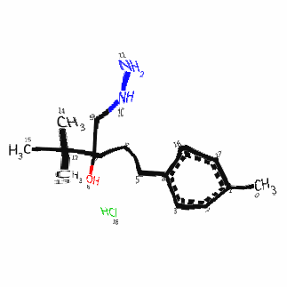 Cc1ccc(CCC(O)(CNN)C(C)(C)C)cc1.Cl